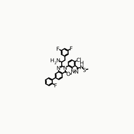 CSNc1nn(C)c2c(-n3c(C(N)Cc4cc(F)cc(F)c4)nc4cc(-c5ccccc5F)ccc4c3=O)ccc(Cl)c12